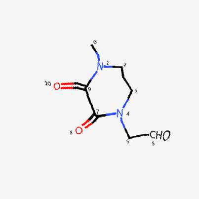 CN1CCN(CC=O)C(=O)C1=O